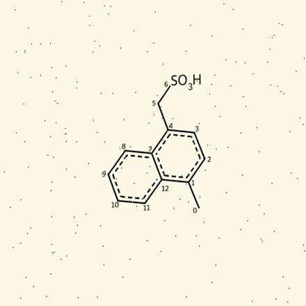 Cc1ccc(CS(=O)(=O)O)c2ccccc12